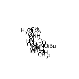 CC(C)COC(=O)NC(C(=O)N1CC(C)(C)CC1C(=O)N[C@@H](CC(C)C)C(=O)C(=O)NCC(=O)NC(C(=O)N(C)C)c1ccccc1)C1CCCCC1